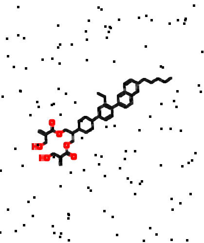 C=C(CO)C(=O)OCC(COC(=O)C(=C)CO)C1CCC(c2ccc(-c3ccc4cc(CCCCC)ccc4c3)c(CC)c2)CC1